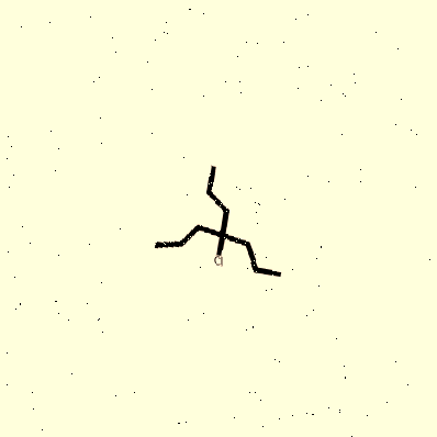 CCCC(Cl)(CCC)CCC